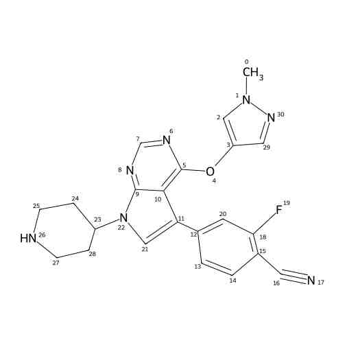 Cn1cc(Oc2ncnc3c2c(-c2ccc(C#N)c(F)c2)cn3C2CCNCC2)cn1